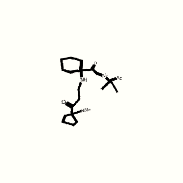 CNC1(C(=O)CCNC2(C(=O)CNC(C)(C)C(C)=O)CCCCC2)CCCC1